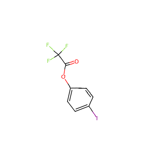 O=C(Oc1ccc(I)cc1)C(F)(F)F